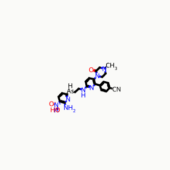 CN1CCN(c2ccc(NCC[AsH]c3ccc([NH+]([O-])O)c(N)n3)nc2-c2ccc(C#N)cc2)C(=O)C1